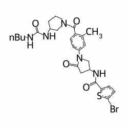 CCCCNC(=O)NC1CCCN(C(=O)c2ccc(N3CC(NC(=O)c4ccc(Br)s4)CC3=O)cc2C)C1